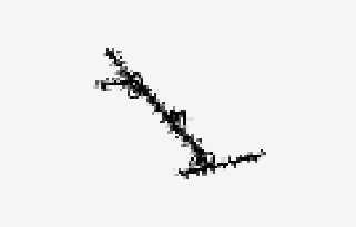 CCCCCCCCCCC(CCCCCC)OC(=O)CCCCCCCCC(CCCCCCCCC(=O)OC(CCCCCC)CCCCCC)NC